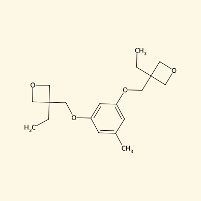 CCC1(COc2cc(C)cc(OCC3(CC)COC3)c2)COC1